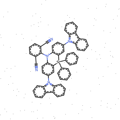 N#Cc1cccc(C#N)c1N1c2ccc(-n3c4ccccc4c4ccccc43)cc2[Si](c2ccccc2)(c2ccccc2)c2cc(-n3c4ccccc4c4ccccc43)ccc21